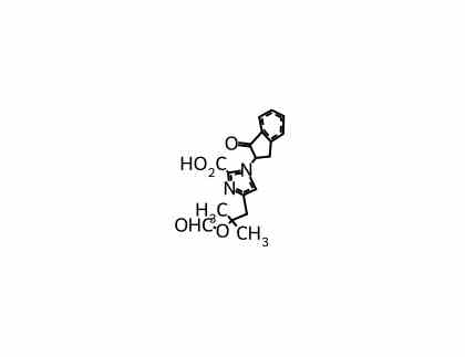 CC(C)(Cc1cn(C2Cc3ccccc3C2=O)c(C(=O)O)n1)OC=O